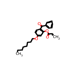 C=CC(=O)Oc1cc(OCCCCCCCC)ccc1C(=O)c1ccccc1